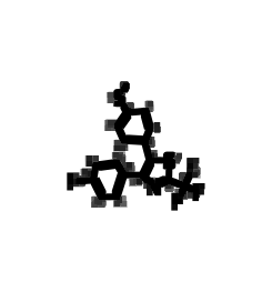 CSc1ccc(-c2sc(C(F)(F)F)nc2-c2ccc(F)cc2)cc1